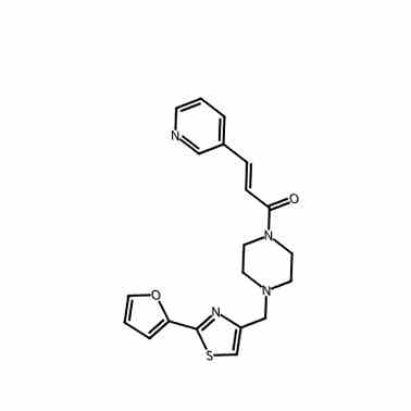 O=C(/C=C/c1cccnc1)N1CCN(Cc2csc(-c3ccco3)n2)CC1